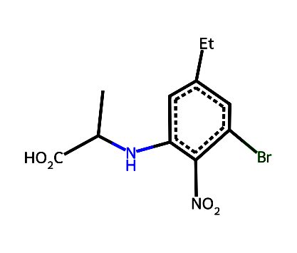 CCc1cc(Br)c([N+](=O)[O-])c(NC(C)C(=O)O)c1